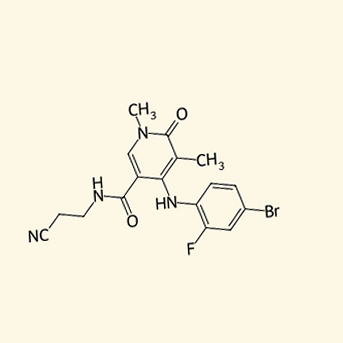 Cc1c(Nc2ccc(Br)cc2F)c(C(=O)NCCC#N)cn(C)c1=O